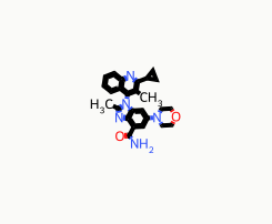 Cc1c(C2CC2)nc2ccccc2c1-n1c(C)nc2c(C(N)=O)cc(N3CCOCC3)cc21